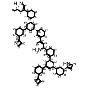 CCC/C(=C\N)C1CCCC([C@H]2CC(C3CCCC(C4=NC=C4)C3)C[C@@H](C3C=C(/C(C)=C/C(N)C4C=C(C5CC(C6C=CCC(C7=NC=C7)C6)=C[C@H]([C@@H]6CCC[C@H](C7=CCN7)C6)C5)CCC4)CCC3)C2)C1